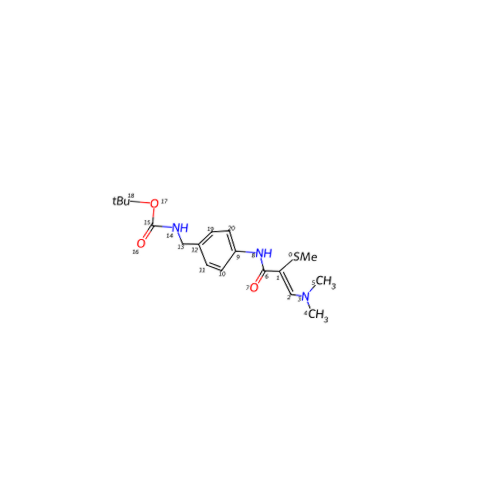 CS/C(=C\N(C)C)C(=O)Nc1ccc(CNC(=O)OC(C)(C)C)cc1